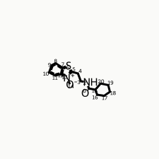 O=C(NCCc1sc2ccccc2[n+]1[O-])C1CCCCC1